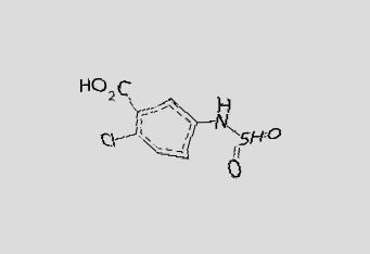 O=C(O)c1cc(N[SH](=O)=O)ccc1Cl